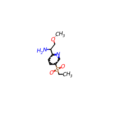 CCS(=O)(=O)c1ccc(C(N)COC)nc1